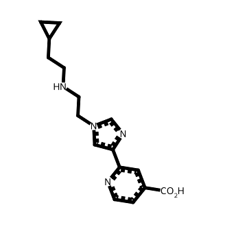 O=C(O)c1ccnc(-c2cn(CCNCCC3CC3)cn2)c1